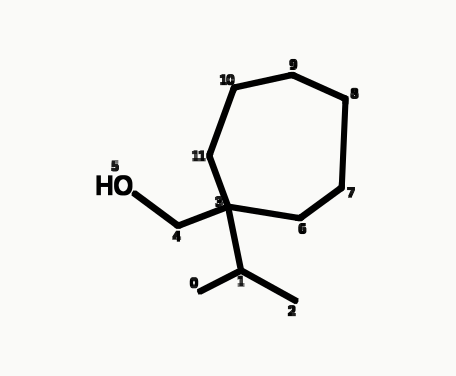 CC(C)C1(CO)CCCCCC1